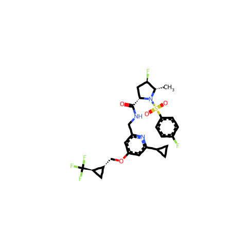 C[C@H]1[C@H](F)C[C@@H](C(=O)NCc2cc(OC[C@@H]3C[C@H]3C(F)(F)F)cc(C3CC3)n2)N1S(=O)(=O)c1ccc(F)cc1